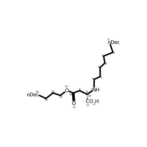 CCCCCCCCCCCCCCCCN[C@@H](CC(=O)OCCCCCCCCCCCCC)C(=O)O